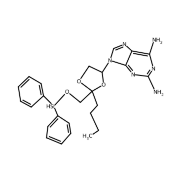 CCCCC1(CO[SiH](c2ccccc2)c2ccccc2)OCC(n2cnc3c(N)nc(N)nc32)O1